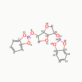 c1ccc2c(c1)OP(OC1COC3C1OC[C@H]3OP1Oc3ccccc3O1)O2